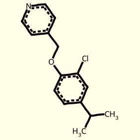 CC(C)c1ccc(OCc2ccncc2)c(Cl)c1